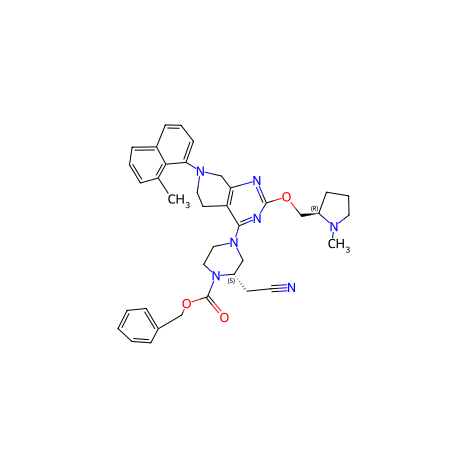 Cc1cccc2cccc(N3CCc4c(nc(OC[C@H]5CCCN5C)nc4N4CCN(C(=O)OCc5ccccc5)[C@@H](CC#N)C4)C3)c12